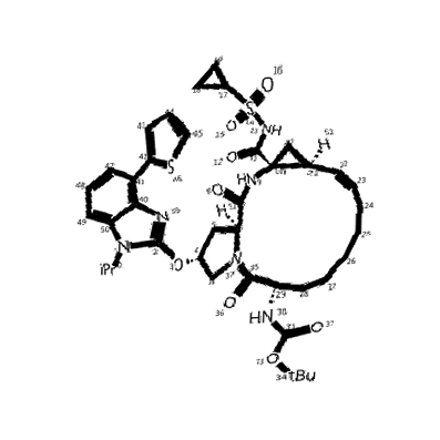 CC(C)n1c(O[C@@H]2C[C@H]3C(=O)N[C@]4(C(=O)NS(=O)(=O)C5CC5)C[C@H]4/C=C\CCCCC[C@H](NC(=O)OC(C)(C)C)C(=O)N3C2)nc2c(-c3cccs3)cccc21